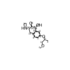 COC[C@H](C)Oc1ccc2c(c1)N(O)C(=O)[C@@H](NCl)C2